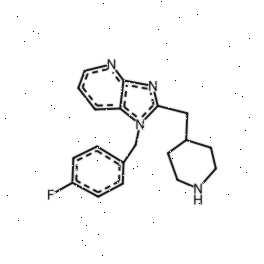 Fc1ccc(Cn2c(CC3CCNCC3)nc3ncccc32)cc1